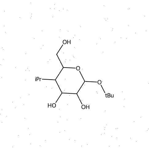 CC(C)C1C(CO)OC(OC(C)(C)C)C(O)C1O